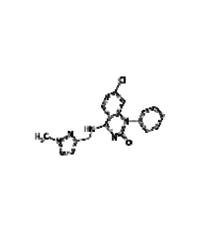 Cn1ccc(CNc2nc(=O)n(-c3ccccc3)c3cc(Cl)ccc23)n1